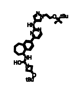 CC(C)(C)OC1CN(C(O)NC2CCCCc3cc(-c4ccnc(Nc5cnn(CCO[Si](C)(C)C(C)(C)C)c5)n4)ccc32)C1